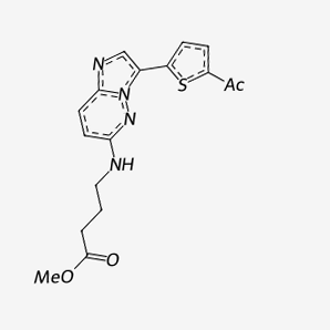 COC(=O)CCCNc1ccc2ncc(-c3ccc(C(C)=O)s3)n2n1